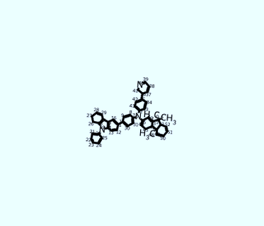 CC1(C)C2=CC(N(c3ccc(-c4ccc5c(c4)c4c(n5-c5ccccc5)CCC=C4)cc3)c3ccc(C4C=CC=NC4)cc3)=CCC2C2(C)C=CC=CC12